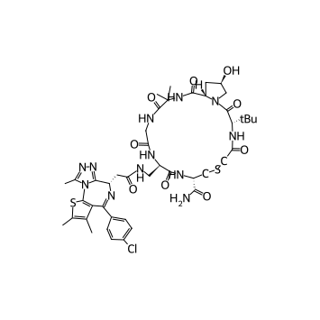 Cc1sc2c(c1C)C(c1ccc(Cl)cc1)=N[C@@H](CC(=O)NC[C@H]1NC(=O)CNC(=O)C(C)(C)NC(=O)[C@@H]3C[C@@H](O)CN3C(=O)[C@H](C(C)(C)C)NC(=O)CSC[C@H](C(N)=O)NC1=O)c1nnc(C)n1-2